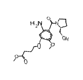 COC(=O)CCCOc1cc(N)c(C(=O)N2CCC[C@H]2CO)cc1OC